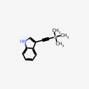 C[Si](C)(C)C#Cc1c[nH]c2ccccc12